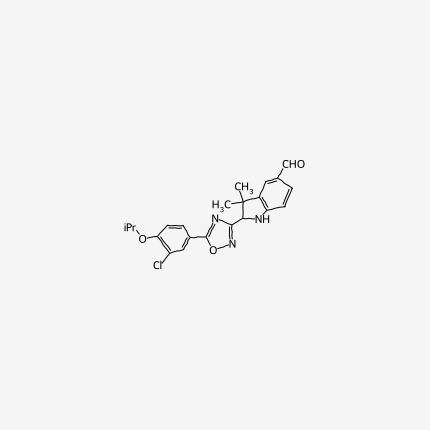 CC(C)Oc1ccc(-c2nc(C3Nc4ccc(C=O)cc4C3(C)C)no2)cc1Cl